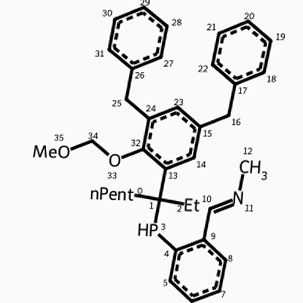 CCCCCC(CC)(Pc1ccccc1/C=N/C)c1cc(Cc2ccccc2)cc(Cc2ccccc2)c1OCOC